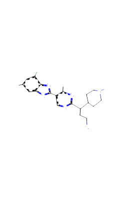 Cc1cc(Cl)c2nc(-c3cnc(C(CCN)C4CCN(C)CC4)nc3C)[nH]c2c1